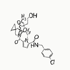 CC(C)(CCO)S(=O)(=O)C1(CN2CCCn3c(C(=O)NCc4ccc(Cl)cc4)ccc3C2=O)CC1